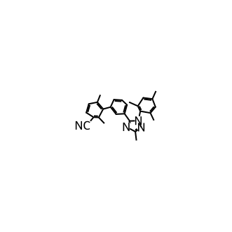 Cc1cc(C)c(-n2nc(C)nc2-c2cccc(-c3c(C)ccc(C#N)c3C)c2)c(C)c1